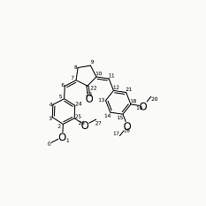 COc1ccc(C=C2CCC(=Cc3ccc(OC)c(OC)c3)C2=O)cc1OC